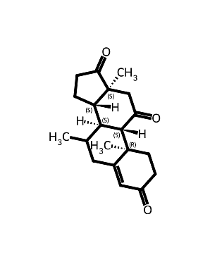 CC1CC2=CC(=O)CC[C@]2(C)[C@H]2C(=O)C[C@]3(C)C(=O)CC[C@H]3[C@H]12